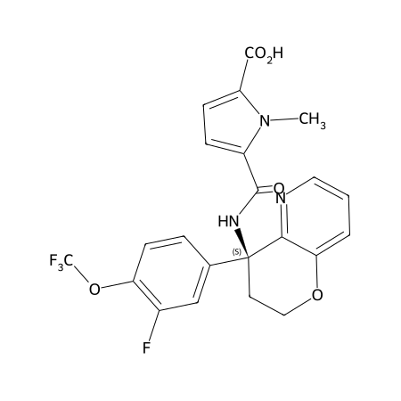 Cn1c(C(=O)O)ccc1C(=O)N[C@]1(c2ccc(OC(F)(F)F)c(F)c2)CCOc2cccnc21